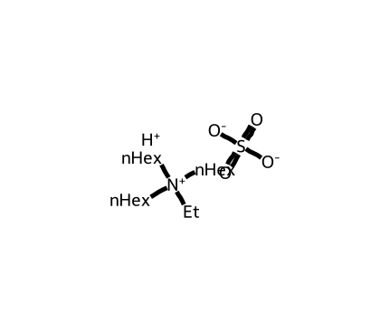 CCCCCC[N+](CC)(CCCCCC)CCCCCC.O=S(=O)([O-])[O-].[H+]